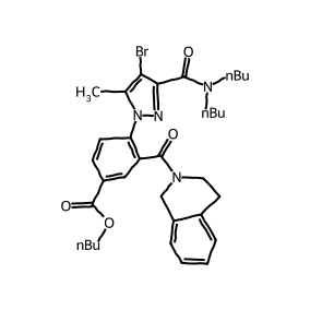 CCCCOC(=O)c1ccc(-n2nc(C(=O)N(CCCC)CCCC)c(Br)c2C)c(C(=O)N2CCc3ccccc3C2)c1